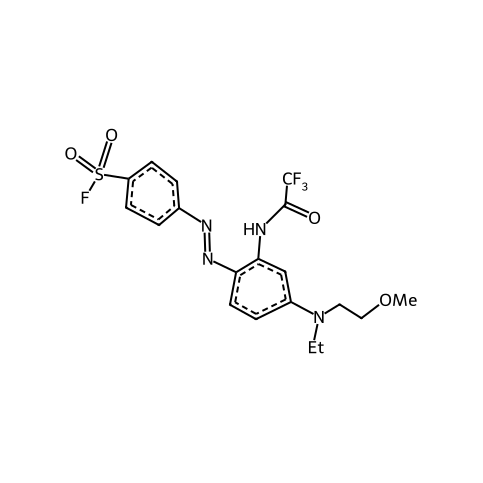 CCN(CCOC)c1ccc(N=Nc2ccc(S(=O)(=O)F)cc2)c(NC(=O)C(F)(F)F)c1